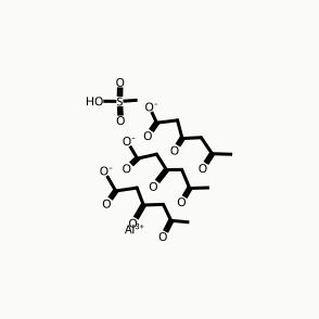 CC(=O)CC(=O)CC(=O)[O-].CC(=O)CC(=O)CC(=O)[O-].CC(=O)CC(=O)CC(=O)[O-].CS(=O)(=O)O.[Al+3]